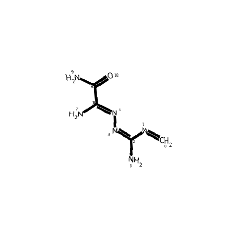 C=N/C(N)=N\N=C(/N)C(N)=O